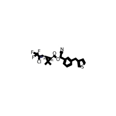 CC1(C)[C@H](C(=O)OC(C#N)c2cccc(Cc3ccsc3)c2)[C@@H]1/C=C(\Cl)C(F)(F)F